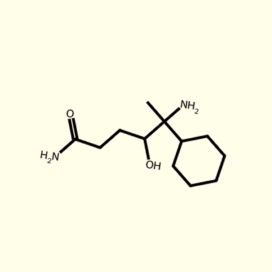 CC(N)(C(O)CCC(N)=O)C1CCCCC1